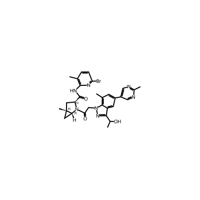 Cc1ncc(-c2cc(C)c3c(c2)c(C(C)O)nn3CC(=O)N2[C@H](C(=O)Nc3nc(Br)ccc3C)C[C@@]3(C)C[C@@H]23)cn1